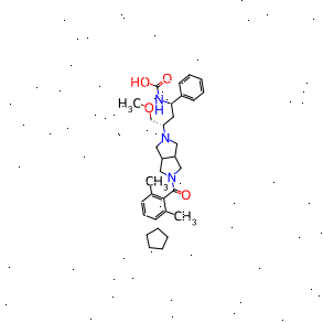 C1CCCC1.COC[C@H](CC(NC(=O)O)c1ccccc1)N1CC2CN(C(=O)c3c(C)cccc3C)CC2C1